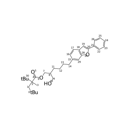 CC(C)(C)CC(C)(C(=O)OCC(CO)CCCCc1ccc2cc(-c3ccccc3)oc2c1)C(C)(C)C